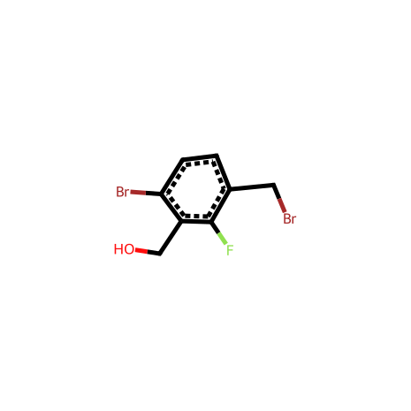 OCc1c(Br)ccc(CBr)c1F